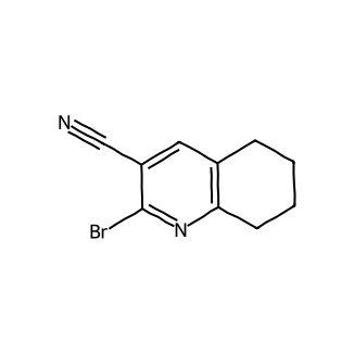 N#Cc1cc2c(nc1Br)CCCC2